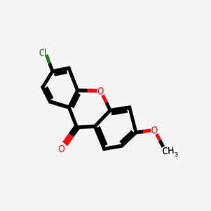 COc1ccc2c(=O)c3ccc(Cl)cc3oc2c1